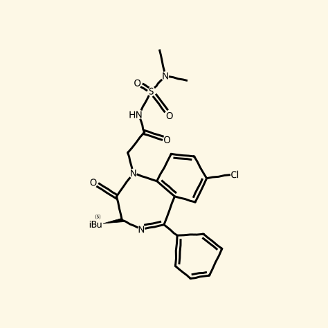 CC[C@H](C)C1N=C(c2ccccc2)c2cc(Cl)ccc2N(CC(=O)NS(=O)(=O)N(C)C)C1=O